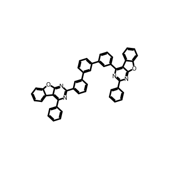 c1ccc(-c2nc(-c3cccc(-c4cccc(-c5cccc(-c6nc(-c7ccccc7)c7c(n6)oc6ccccc67)c5)c4)c3)c3c(n2)oc2ccccc23)cc1